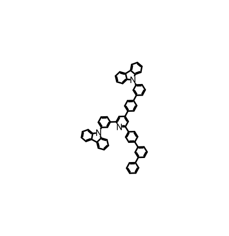 c1ccc(-c2cccc(-c3ccc(-c4cc(-c5ccc(-c6cccc(-n7c8ccccc8c8ccccc87)c6)cc5)cc(-c5cccc(-n6c7ccccc7c7ccccc76)c5)n4)cc3)c2)cc1